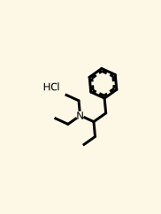 CCC(Cc1ccccc1)N(CC)CC.Cl